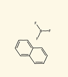 FB(F)F.c1ccc2ccccc2c1